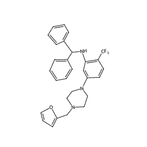 FC(F)(F)c1ccc(N2CCN(Cc3ccco3)CC2)cc1NC(c1ccccc1)c1ccccc1